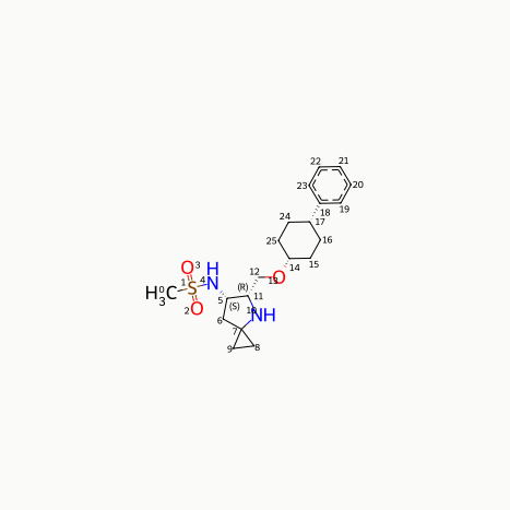 CS(=O)(=O)N[C@H]1CC2(CC2)N[C@H]1CO[C@H]1CC[C@@H](c2ccccc2)CC1